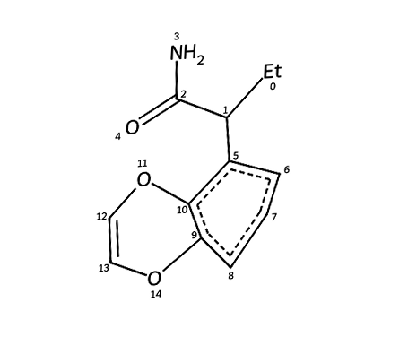 CCC(C(N)=O)c1cccc2c1OC=CO2